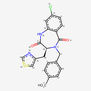 O=C(O)c1ccc(CN2C(=O)c3ccc(Cl)cc3NC(=O)[C@@H]2Cc2cscn2)cc1